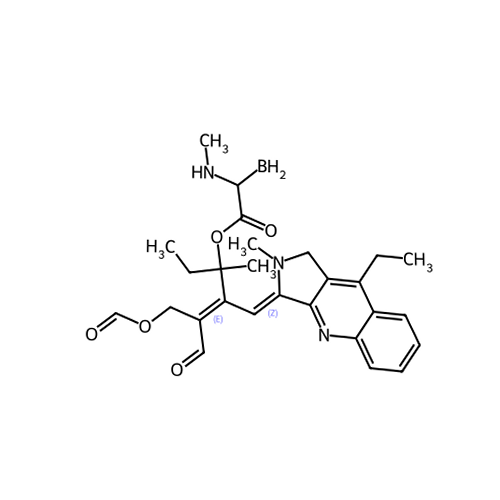 BC(NC)C(=O)OC(C)(CC)C(/C=C1/c2nc3ccccc3c(CC)c2CN1C)=C(/C=O)COC=O